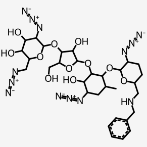 CC1CC(N=[N+]=[N-])C(O)C(OC2OC(CO)C(OC3OC(CN=[N+]=[N-])C(O)C(O)C3N=[N+]=[N-])C2O)C1OC1OC(CNCc2ccccc2)CCC1N=[N+]=[N-]